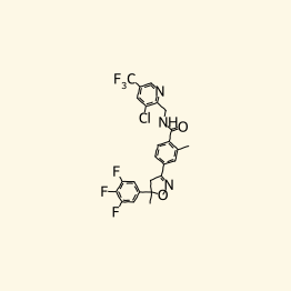 Cc1cc(C2=NOC(C)(c3cc(F)c(F)c(F)c3)C2)ccc1C(=O)NCc1ncc(C(F)(F)F)cc1Cl